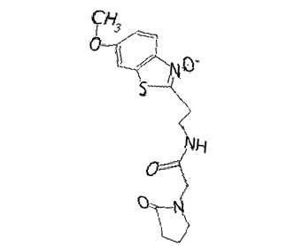 COc1ccc2c(c1)sc(CCNC(=O)CN1CCCC1=O)[n+]2[O-]